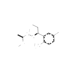 C=C(N/N=C(\CC)c1cc(C)ccc1N)OC